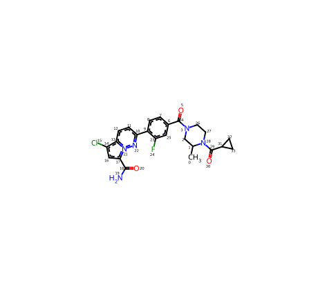 CC1CN(C(=O)c2ccc(-c3ccc4c(Cl)cc(C(N)=O)n4n3)c(F)c2)CCN1C(=O)C1CC1